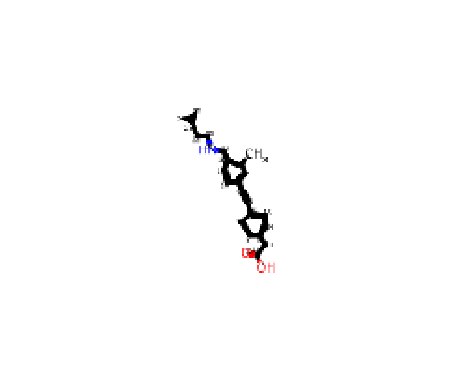 Cc1cc(C#Cc2ccc(CC(=O)O)cc2)ccc1CNCCC1CC1